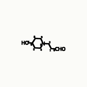 O=CCCN1CCC(O)CC1